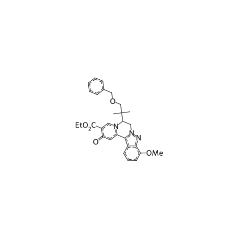 CCOC(=O)c1cn2c(cc1=O)-c1c3cccc(OC)c3nn1CC2C(C)(C)COCc1ccccc1